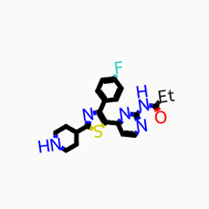 CCC(=O)Nc1nccc(-c2sc(C3CCNCC3)nc2-c2ccc(F)cc2)n1